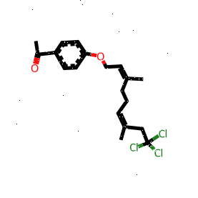 CC(=O)c1ccc(OCC=C(C)CCC=C(C)CC(Cl)(Cl)Cl)cc1